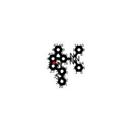 c1ccc(-c2nc(-c3ccccc3)nc(-c3cc(-n4c5ccccc5c5c6sc7ccccc7c6ccc54)c4c5ccccc5c5ccccc5c4c3)n2)cc1